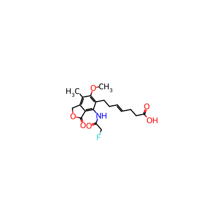 COc1c(C)c2c(c(NC(=O)CF)c1CC/C=C/CCC(=O)O)C(=O)OC2